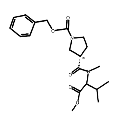 COC(=O)C(C(C)C)N(C)C(=O)[C@H]1CCN(C(=O)OCc2ccccc2)C1